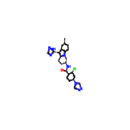 Cc1ccc2c(c1)c(-c1ncn[nH]1)c1n2CC(NC(=O)c2ccc(-n3cnnc3)cc2Cl)CC1